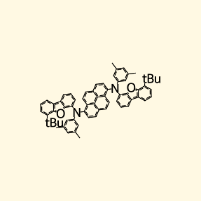 Cc1cc(C)cc(N(c2ccc3ccc4c(N(c5cc(C)cc(C)c5)c5cccc6c5oc5c(C(C)(C)C)cccc56)ccc5ccc2c3c54)c2cccc3c2oc2c(C(C)(C)C)cccc23)c1